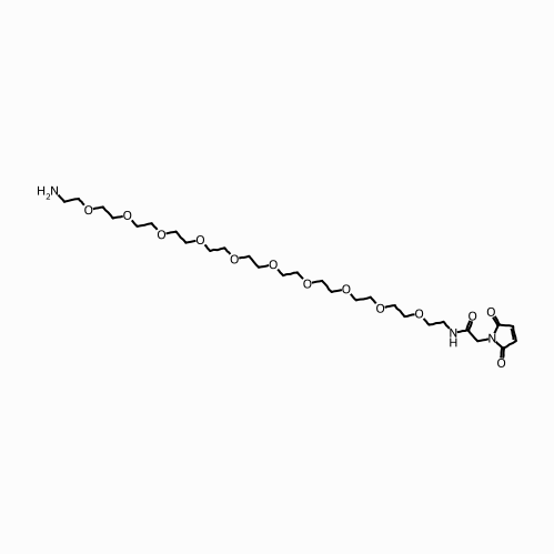 NCCOCCOCCOCCOCCOCCOCCOCCOCCOCCOCCNC(=O)CN1C(=O)C=CC1=O